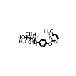 Cc1ccnc(Oc2ccc(BOC(C)(C)C(C)(C)O)cc2)n1